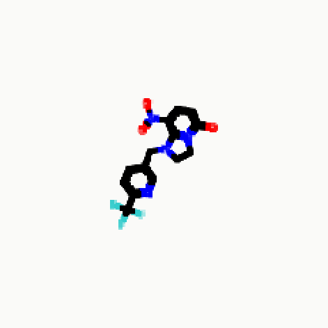 O=c1ccc([N+](=O)[O-])c2n1CCN2Cc1ccc(C(F)(F)F)nc1